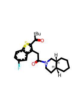 CC(C)(C)C(=O)c1sc2ccc(F)cc2c1CC(=O)N1CC[C@H]2CCCC[C@H]2C1